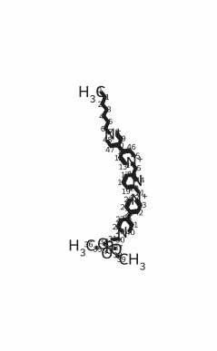 CCCCCCC[n+]1ccc(-c2cc[n+](Cc3cccc(C[n+]4ccc(-c5cc[n+](CCP(=O)(OCC)OCC)cc5)cc4)n3)cc2)cc1